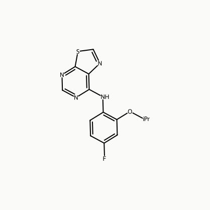 CC(C)Oc1cc(F)ccc1Nc1ncnc2scnc12